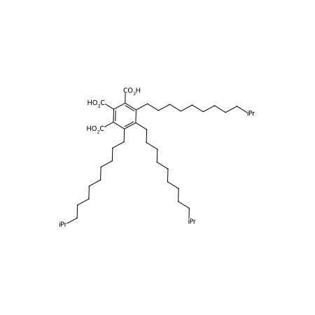 CC(C)CCCCCCCCCc1c(CCCCCCCCCC(C)C)c(C(=O)O)c(C(=O)O)c(C(=O)O)c1CCCCCCCCCC(C)C